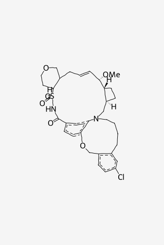 CO[C@H]1/C=C/CC2COCC[C@H]2S(=O)(=O)NC(=O)c2ccc3c(c2)N(CCCCc2cc(Cl)ccc2CO3)C[C@@H]2CC[C@H]21